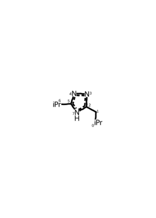 CC(C)Cc1nnc(C(C)C)[nH]1